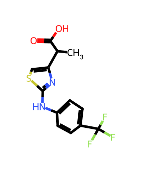 CC(C(=O)O)c1csc(Nc2ccc(C(F)(F)F)cc2)n1